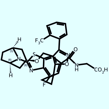 O=C(O)CNC(=O)c1cc(F)c2nc(N3[C@@H]4CC[C@H]3C[C@@H](OCc3c(-c5ccccc5C(F)(F)F)noc3C3CC3)C4)sc2c1